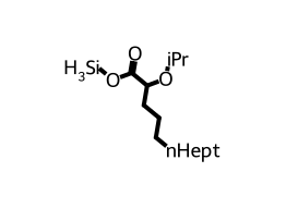 CCCCCCCCCCC(OC(C)C)C(=O)O[SiH3]